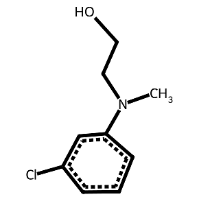 CN(CCO)c1cccc(Cl)c1